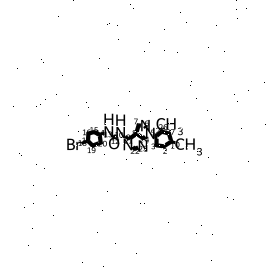 Cc1ccc(-n2ncc3c(NC(=O)Nc4ccc(Br)cc4)ncnc32)c(C)c1